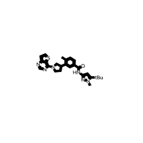 Cc1ccc(C(=O)Nc2cc(C(C)(C)C)n(C)n2)cc1C1CCN(c2ncnc3ccsc23)C1